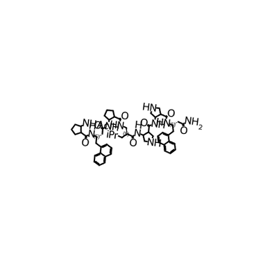 CC(=O)NC1CCCC1C(=O)N[C@H](CC(=O)NC1CCCC1C(=O)NC[C@H](CC(C)C)C(=O)NC1CNCC1C(=O)NC1CNCC1C(=O)N[C@H](CC(N)=O)Cc1cccc2ccccc12)Cc1cccc2ccccc12